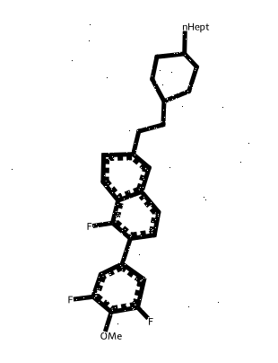 CCCCCCCC1CCC(CCc2ccc3c(F)c(-c4cc(F)c(OC)c(F)c4)ccc3c2)CC1